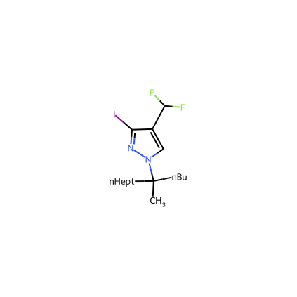 CCCCCCCC(C)(CCCC)n1cc(C(F)F)c(I)n1